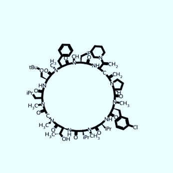 C=C(C1CC(=C)N2CCC[C@H]2C(=O)N(C)[C@@H](Cc2cccc(Cl)c2)C(=O)N[C@@H](C(C)C)C(=O)N(C)[C@@H](C(C)C)C(=O)N[C@@H]([C@@H](C)O)C(=O)N(C)CC(=O)N(C)C(CC(C)C)C(=O)N[C@@H](COC(C)(C)C)C(=O)N(C)C(Cc2ccccc2)C(=O)N(C)[C@@H](CC(C)C)C(=O)N1)N1CCCCC1